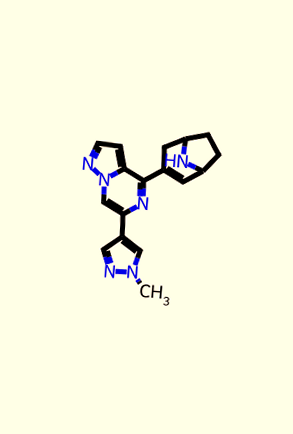 Cn1cc(-c2cn3nccc3c(C3=CC4CCC(C3)N4)n2)cn1